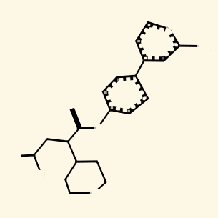 Cc1cc(-c2ccc(NC(=O)C(CC(C)C)C3CCOCC3)cc2)ccn1